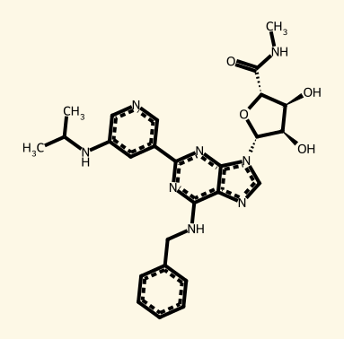 CNC(=O)[C@H]1O[C@@H](n2cnc3c(NCc4ccccc4)nc(-c4cncc(NC(C)C)c4)nc32)[C@H](O)[C@@H]1O